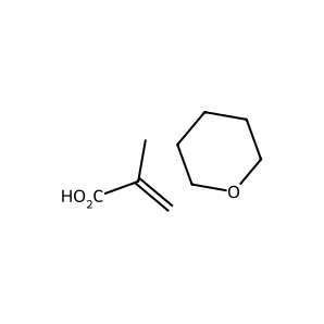 C1CCOCC1.C=C(C)C(=O)O